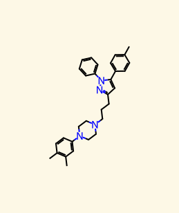 Cc1ccc(-c2cc(CCCN3CCN(c4ccc(C)c(C)c4)CC3)nn2-c2ccccc2)cc1